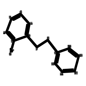 [S]c1ccccc1CCc1ccccc1